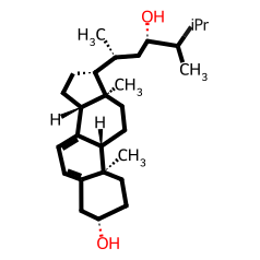 CC(C)C(C)[C@@H](O)C[C@@H](C)[C@H]1CC[C@H]2C3=CC=C4C[C@@H](O)CC[C@]4(C)[C@H]3CC[C@]12C